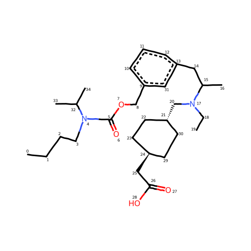 CCCCN(C(=O)OCc1cccc(CC(C)N(CC)C[C@H]2CC[C@H](CC(=O)O)CC2)c1)C(C)C